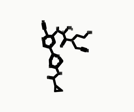 C[C@H](Nc1cc(-c2cnc(NC(=O)C3CC3)cn2)cnc1C#N)C(=O)N(CC#N)CCO